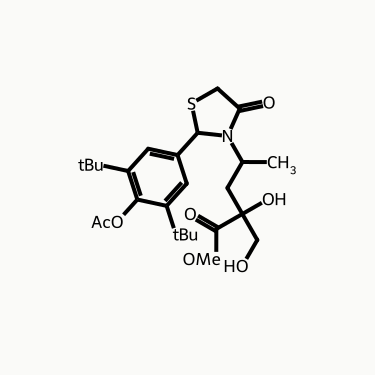 COC(=O)C(O)(CO)CC(C)N1C(=O)CSC1c1cc(C(C)(C)C)c(OC(C)=O)c(C(C)(C)C)c1